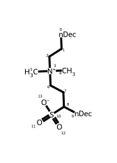 CCCCCCCCCCCC[N+](C)(C)CCC(CCCCCCCCCC)S(=O)(=O)[O-]